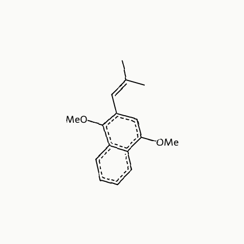 COc1cc(C=C(C)C)c(OC)c2ccccc12